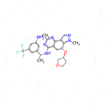 Cc1nc(NC(C)c2cc(N)cc(C(F)(F)F)c2)c2cc(O[C@H]3CCOC3)c3c(cnn3C)c2n1